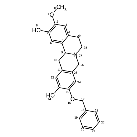 COc1cc2c(cc1O)C1Cc3cc(O)c(OCc4ccccc4)cc3CN1CC2